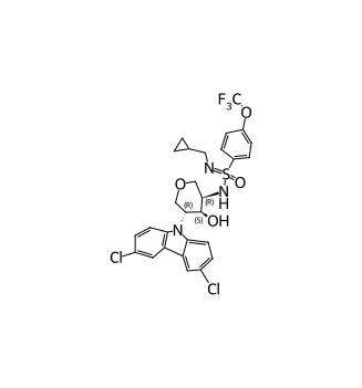 O=S(=NCC1CC1)(N[C@@H]1COC[C@@H](n2c3ccc(Cl)cc3c3cc(Cl)ccc32)[C@@H]1O)c1ccc(OC(F)(F)F)cc1